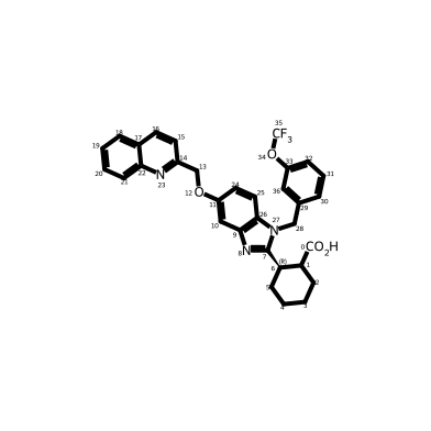 O=C(O)C1CCCC[C@H]1c1nc2cc(OCc3ccc4ccccc4n3)ccc2n1Cc1cccc(OC(F)(F)F)c1